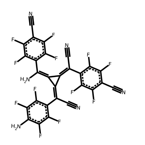 N#C/C(=C1\C(=C(N)c2c(F)c(F)c(C#N)c(F)c2F)\C1=C(\C#N)c1c(F)c(F)c(N)c(F)c1F)c1c(F)c(F)c(C#N)c(F)c1F